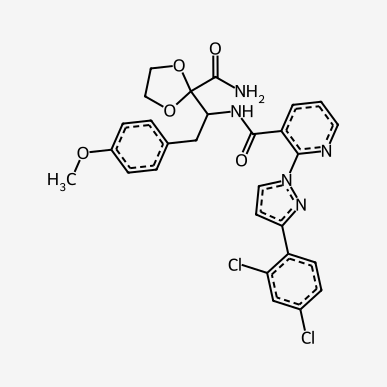 COc1ccc(CC(NC(=O)c2cccnc2-n2ccc(-c3ccc(Cl)cc3Cl)n2)C2(C(N)=O)OCCO2)cc1